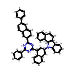 c1ccc(-c2ccc3cc(-c4nc(-c5ccccc5)nc(-c5cc(-n6c7ccccc7c7ccc8ccccc8c76)cc6ccccc56)n4)ccc3c2)cc1